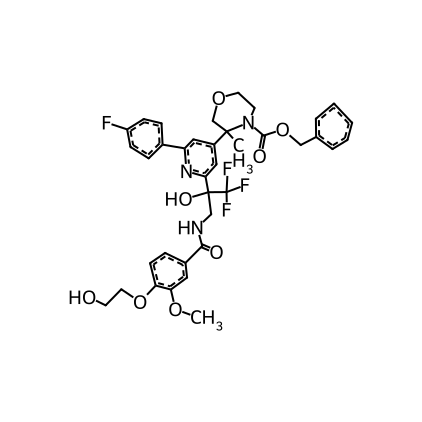 COc1cc(C(=O)NCC(O)(c2cc(C3(C)COCCN3C(=O)OCc3ccccc3)cc(-c3ccc(F)cc3)n2)C(F)(F)F)ccc1OCCO